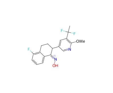 COc1ncc(C2CCc3c(F)cccc3/C2=N\O)cc1C(C)(F)F